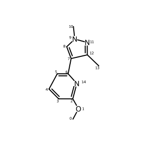 COc1cccc(-c2cn(C)nc2C)n1